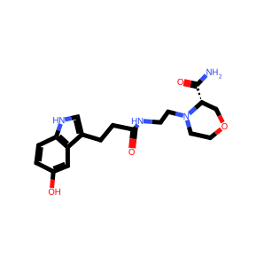 NC(=O)[C@@H]1COCCN1CCNC(=O)[CH]Cc1c[nH]c2ccc(O)cc12